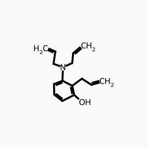 C=CCc1c(O)cccc1N(CC=C)CC=C